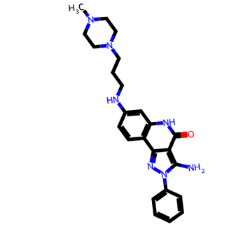 CN1CCN(CCCNc2ccc3c(c2)[nH]c(=O)c2c(N)n(-c4ccccc4)nc23)CC1